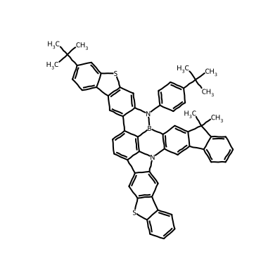 CC(C)(C)c1ccc(N2B3c4cc5c(cc4-n4c6cc7c(cc6c6ccc(c3c64)-c3cc4c(cc32)sc2cc(C(C)(C)C)ccc24)sc2ccccc27)-c2ccccc2C5(C)C)cc1